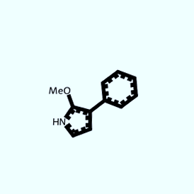 COc1[nH]ccc1-c1ccccc1